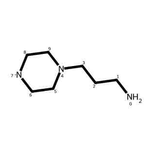 NCCCN1CC[N]CC1